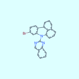 Brc1ccc2c(c1)N(c1ncc3ccccc3n1)c1cccc3cccc-2c13